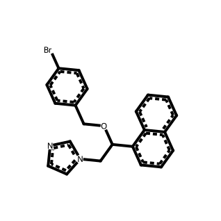 Brc1ccc(COC(Cn2ccnc2)c2cccc3ccccc23)cc1